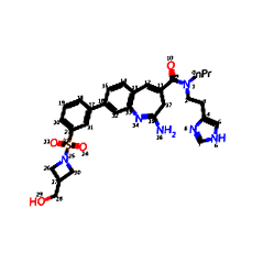 CCCN(CCc1c[nH]cn1)C(=O)C1=Cc2ccc(-c3cccc(S(=O)(=O)N4CC(CO)C4)c3)cc2N=C(N)C1